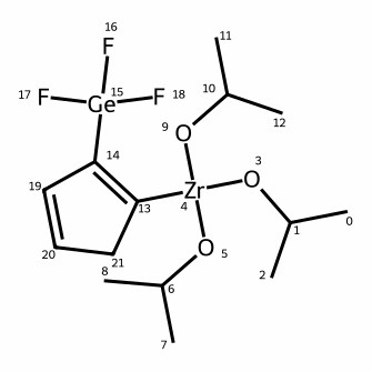 CC(C)[O][Zr]([O]C(C)C)([O]C(C)C)[C]1=[C]([Ge]([F])([F])[F])C=CC1